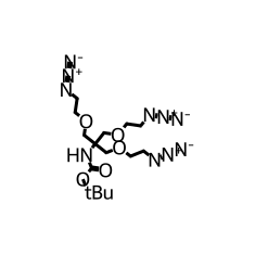 CC(C)(C)OC(=O)NC(COCCN=[N+]=[N-])(COCCN=[N+]=[N-])COCCN=[N+]=[N-]